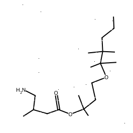 CCCC(C)(C)C(C)(C)OCCC(C)(C)OC(=O)CC(C)CN